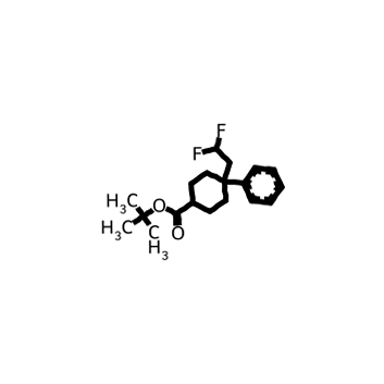 CC(C)(C)OC(=O)C1CCC(CC(F)F)(c2ccccc2)CC1